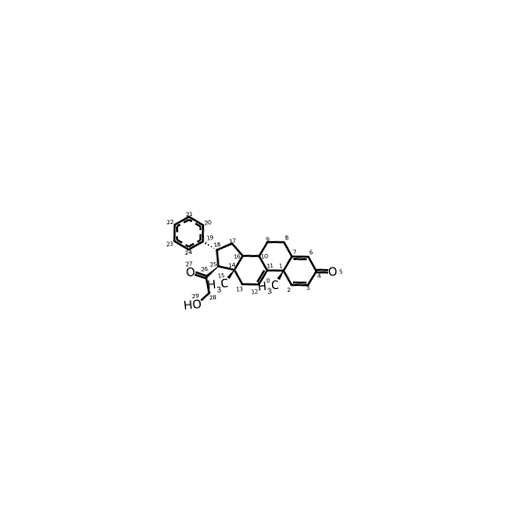 C[C@]12C=CC(=O)C=C1CCC1C2=CC[C@@]2(C)C1C[C@@H](c1ccccc1)[C@@H]2C(=O)CO